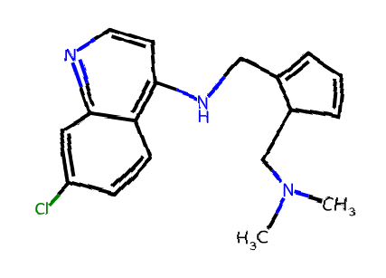 CN(C)CC1C=CC=C1CNc1ccnc2cc(Cl)ccc12